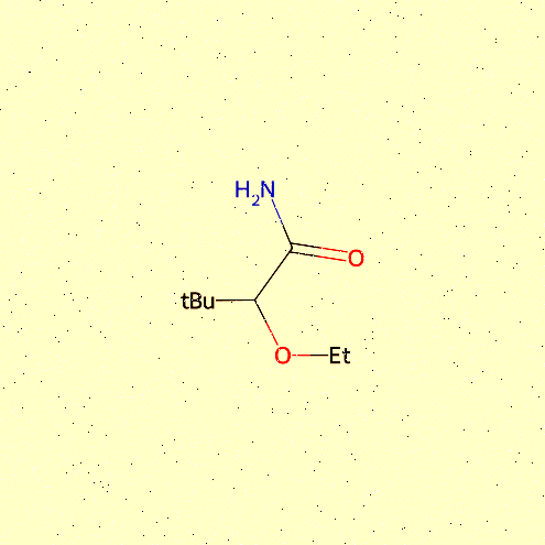 CCOC(C(N)=O)C(C)(C)C